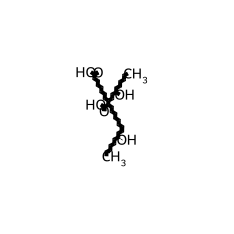 CCCCCCC(O)CCC(CCCCCCCC(=O)O)C(CCCCCC/C=C\C[C@H](O)CCCCCC)C(=O)O